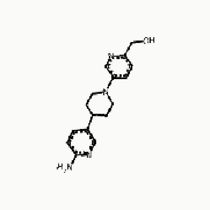 Nc1ccc(C2CCN(c3ccc(CO)nc3)CC2)cn1